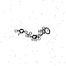 CN1NC(CNC(=O)C23CCC(NC(=O)COc4ccc(Cl)c(F)c4)(CC2)CC3O)CC12CCC/C=C\CCC2